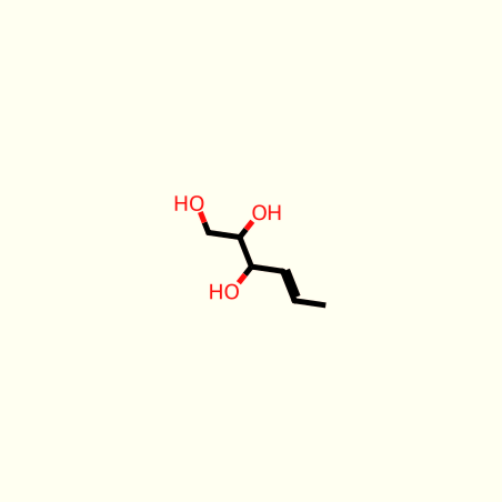 CC=CC(O)C(O)CO